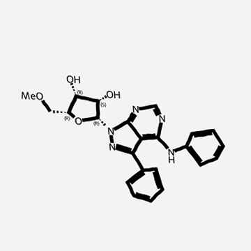 COC[C@H]1O[C@@H](n2nc(-c3ccccc3)c3c(Nc4ccccc4)ncnc32)[C@@H](O)[C@H]1O